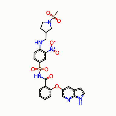 CS(=O)(=O)N1CCC(CNc2ccc(S(=O)(=O)NC(=O)c3ccccc3Oc3cnc4[nH]ccc4c3)cc2[N+](=O)[O-])C1